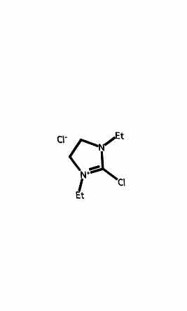 CCN1CC[N+](CC)=C1Cl.[Cl-]